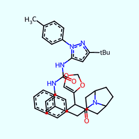 Cc1ccc(-n2nc(C(C)(C)C)cc2NC(=O)Nc2cccc(CC3CC4CCC(C3)N4C(=O)C(Cc3ccccc3)C3=COCO3)c2)cc1